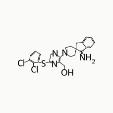 N[C@@H]1c2ccccc2CC12CCN(c1ncc(Sc3cccc(Cl)c3Cl)nc1CO)CC2